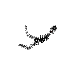 CCCCCCCC/C=C\CCCCCCCC(=O)C[C@H](COC(=O)CCCCCCC/C=C\CCCCCCCC)COP(=O)(O)OCCNC(=O)/C=C(C)/C=C/C=C(C)/C=C/C1=C(C)CCCC1(C)C